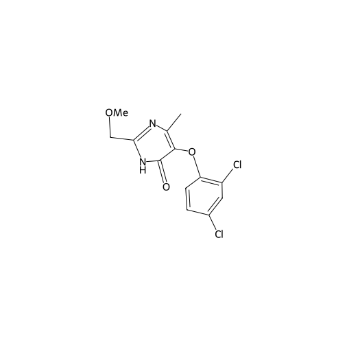 COCc1nc(C)c(Oc2ccc(Cl)cc2Cl)c(=O)[nH]1